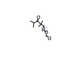 CC(C)C(=O)C(C)(C)/C=N/OC=O